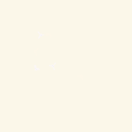 BN1CCC[C@H]1COc1cncc(N2CCC(CCOCCc3ccccc3)CC2)c1